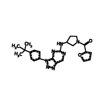 CC(C)(C)c1ccc(-n2nnc3cnc(NC4CCN(C(=O)c5ccco5)C4)nc32)cc1